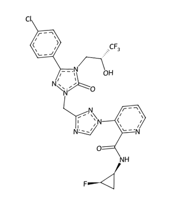 O=C(N[C@H]1C[C@H]1F)c1ncccc1-n1cnc(Cn2nc(-c3ccc(Cl)cc3)n(C[C@@H](O)C(F)(F)F)c2=O)n1